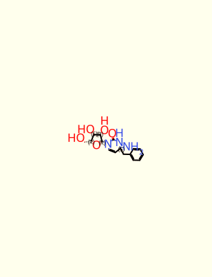 N[C@]1(Cc2ccccc2)C=CN([C@@H]2O[C@H](CO)[C@@H](O)[C@H]2O)C(=O)N1